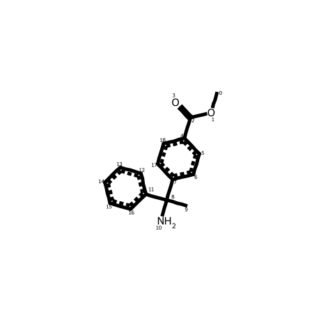 COC(=O)c1ccc(C(C)(N)c2ccccc2)cc1